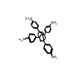 Nc1ccc(C23CC4(c5ccc(N)cc5)CC(c5ccc(N)cc5)(C2)CC(c2ccc(N)cc2)(C3)C4)cc1